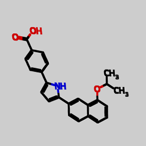 CC(C)Oc1cccc2ccc(-c3ccc(-c4ccc(C(=O)O)cc4)[nH]3)cc12